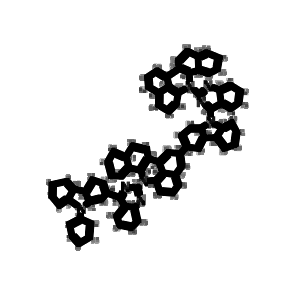 c1ccc(-n2c3ccccc3c3ccc(-c4nc(N5c6c(ccc7ccccc67)-c6cc(-c7ccc8c(c7)c7ccccc7n8-c7nc(N8c9c(ccc%10ccccc9%10)-c9cccc%10cccc8c9%10)nc8ccccc78)cc7cccc5c67)nc5ccccc45)cc32)cc1